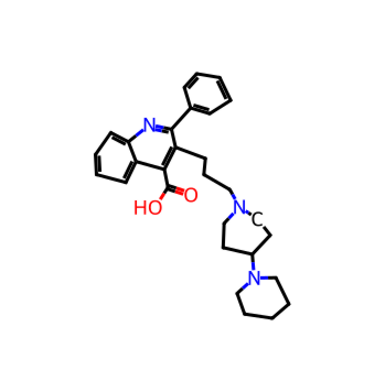 O=C(O)c1c(CCCN2CCC(N3CCCCC3)CC2)c(-c2ccccc2)nc2ccccc12